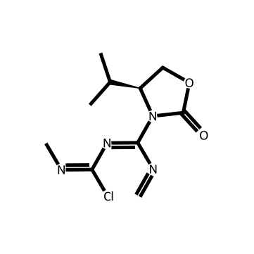 C=N/C(=N\C(Cl)=N/C)N1C(=O)OC[C@@H]1C(C)C